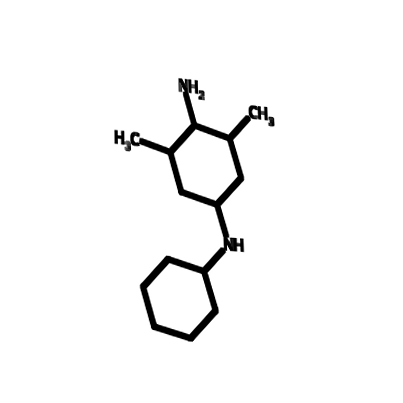 CC1CC(NC2CCCCC2)CC(C)C1N